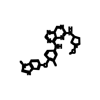 CON1CCC(Nc2ncc3ncnc(Nc4ccc(Oc5ccc6c(c5)ncn6C)c(C)c4)c3n2)C1